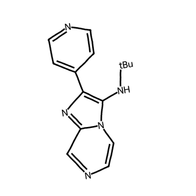 CC(C)(C)Nc1c(-c2ccncc2)nc2cnccn12